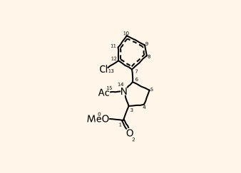 COC(=O)C1CCC(c2ccccc2Cl)N1C(C)=O